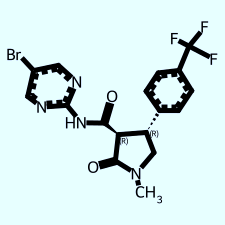 CN1C[C@@H](c2ccc(C(F)(F)F)cc2)[C@H](C(=O)Nc2ncc(Br)cn2)C1=O